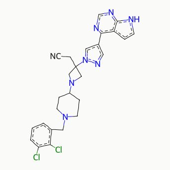 N#CCC1(n2cc(-c3ncnc4[nH]ccc34)cn2)CN(C2CCN(Cc3cccc(Cl)c3Cl)CC2)C1